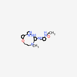 C=CC(=O)Nc1cccc(CNc2cc3cc(c2)Nc2nccc(n2)-c2cccc(c2)OCC/C=C/CN(C)C3)c1